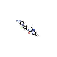 Cc1ccn2c(C(=O)NCc3ccc(N4CCC(N)CC4)c(F)c3)c(C)nc2c1